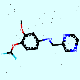 COc1cc(NCc2cnccn2)ccc1OC(F)F